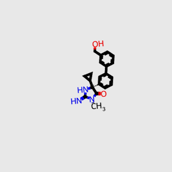 CN1C(=N)N[C@@](c2cccc(-c3cccc(CO)c3)c2)(C2CC2)C1=O